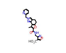 Cc1c(C(=O)NCc2nocc2C(=O)O)oc2c1-c1nn(Cc3ccccn3)cc1CC2